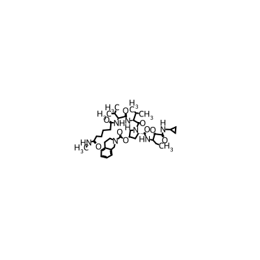 CCC(NC(=O)[C@@H]1CC(OC(=O)N2CCc3ccccc3C2)CN1C(=O)[C@@H](NC(=O)[C@@H](NC(=O)CCCCC(=O)NC)C(C)C)C(C)C)C(=O)C(=O)NC1CC1